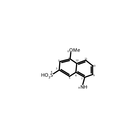 COc1cc(S(=O)(=O)O)cc2c([NH])cccc12